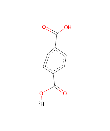 [2H]OC(=O)c1ccc(C(=O)O)cc1